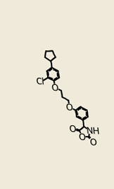 O=C1NC(c2cccc(OCCCOc3ccc(C4CCCC4)cc3Cl)c2)C(=O)O1